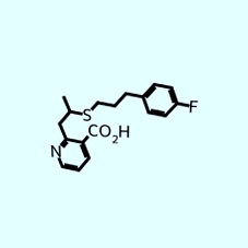 CC(Cc1ncccc1C(=O)O)SCCCc1ccc(F)cc1